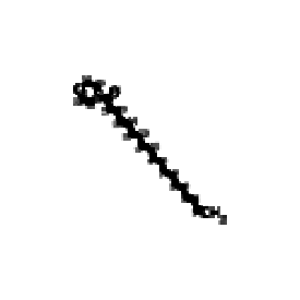 C=CCCCCCCCCCCCCCCCCC(=O)N1CCOCC1